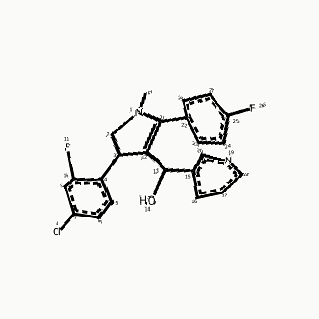 CN1CC(c2ccc(Cl)cc2F)C(C(O)c2cccnc2)=C1c1ccc(F)cc1